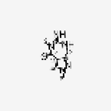 CN1C(=N)NCc2nn(C)cc2C1=O